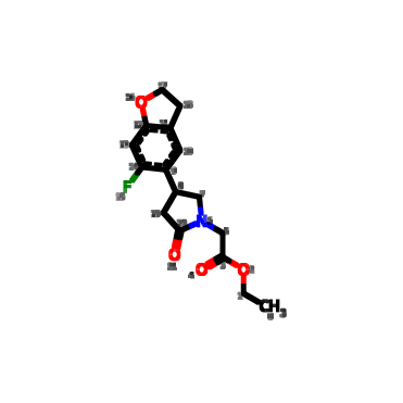 CCOC(=O)CN1CC(c2cc3c(cc2F)OCC3)CC1=O